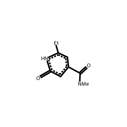 CCc1cc(C(=O)NC)cc(=O)[nH]1